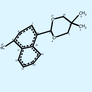 CC1(C)COC(c2ccc(C=O)c3ccccc23)OC1